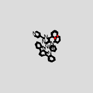 c1ccc(Nc2c(Nn3c4ccccc4c4ccc5c6ccccc6n(-c6ccccc6)c5c43)nc(-c3ccncc3)nc2-c2ccccc2)cc1